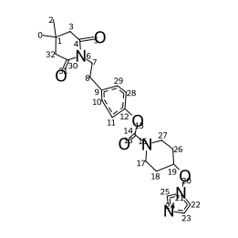 CC1(C)CC(=O)N(CCc2ccc(OC(=O)N3CCC(On4ccnc4)CC3)cc2)C(=O)C1